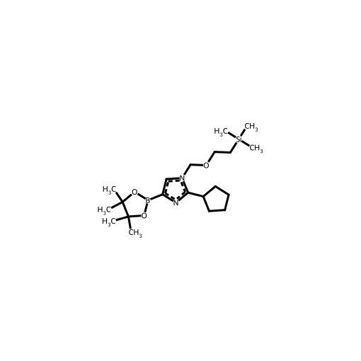 CC1(C)OB(c2cn(COCC[Si](C)(C)C)c(C3CCCC3)n2)OC1(C)C